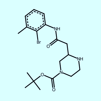 Cc1cccc(NC(=O)CC2CN(C(=O)OC(C)(C)C)CCN2)c1Br